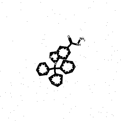 NNC(=O)c1ccc2c(cnn2C(c2ccccc2)(c2ccccc2)c2ccccc2)c1